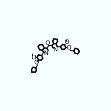 COc1cc(-c2ncc(C(=O)c3cnc(-c4ccc(OCc5ccccc5)c(OC)c4)c4ccccc34)c3ccccc23)ccc1OCc1ccccc1